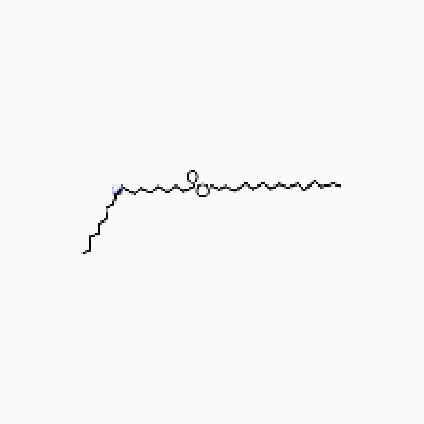 CCCCCCCC/C=C\CCCCCCCC(=O)OCCCCCCCCCCCCCCCC